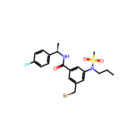 CCCN(c1cc(CBr)cc(C(=O)N[C@H](C)c2ccc(F)cc2)c1)S(C)(=O)=O